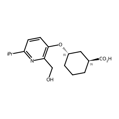 CC(C)c1ccc(O[C@H]2CCC[C@H](C(=O)O)C2)c(CO)n1